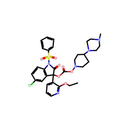 CCOc1ncccc1C1(OC(=O)ON2CCC(N3CCN(C)CC3)CC2)C(=O)N(S(=O)(=O)c2ccccc2)c2ccc(Cl)cc21